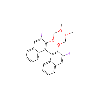 COCOc1c(I)cc2ccccc2c1-c1c(OCOC)c(I)cc2ccccc12